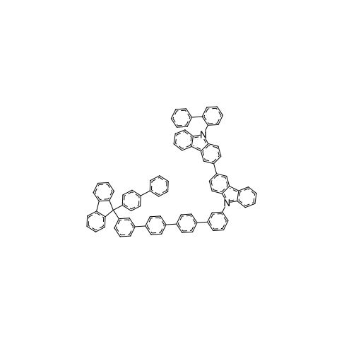 c1ccc(-c2ccc(C3(c4cccc(-c5ccc(-c6ccc(-c7cccc(-n8c9ccccc9c9cc(-c%10ccc%11c(c%10)c%10ccccc%10n%11-c%10ccccc%10-c%10ccccc%10)ccc98)c7)cc6)cc5)c4)c4ccccc4-c4ccccc43)cc2)cc1